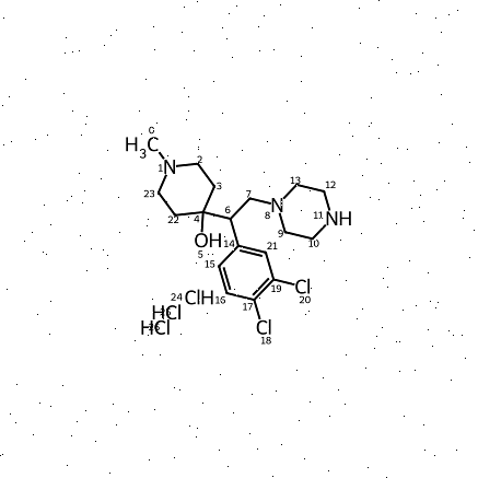 CN1CCC(O)(C(CN2CCNCC2)c2ccc(Cl)c(Cl)c2)CC1.Cl.Cl.Cl